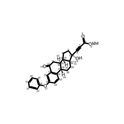 COC(=O)C#C[C@]1(O)CC[C@H]2[C@@H]3CC(=O)c4cc(Oc5ccccc5)ccc4[C@H]3CC[C@@]21C